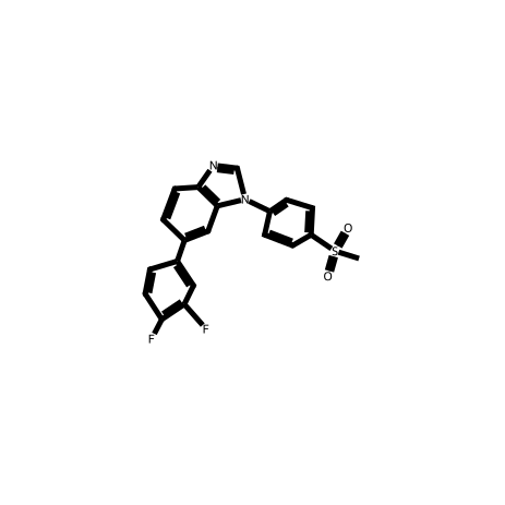 CS(=O)(=O)c1ccc(-n2cnc3ccc(-c4ccc(F)c(F)c4)cc32)cc1